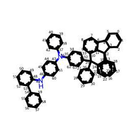 C1=CCC2C(=C1)c1cccc3c1C2(c1ccccc1)c1ccccc1C3(c1ccccc1)c1ccc(N(c2ccccc2)c2ccc(Nc3ccccc3-c3ccccc3)cc2)cc1